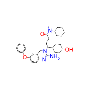 CN(C(=O)CC[C@@H](C1CCC(O)CC1)N1Cc2cc(Oc3ccccc3)ccc2N=C1N)C1CCCCC1